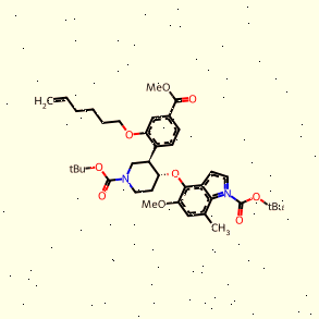 C=CCCCCOc1cc(C(=O)OC)ccc1[C@@H]1CN(C(=O)OC(C)(C)C)CC[C@H]1Oc1c(OC)cc(C)c2c1ccn2C(=O)OC(C)(C)C